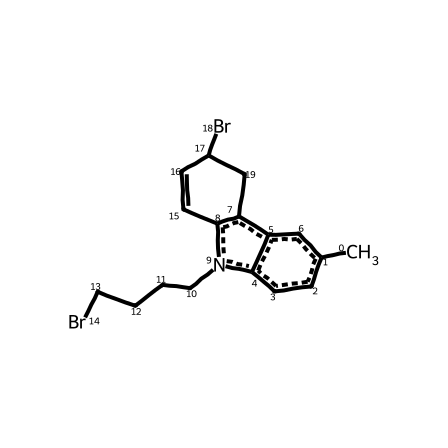 Cc1ccc2c(c1)c1c(n2CCCCBr)C=CC(Br)C1